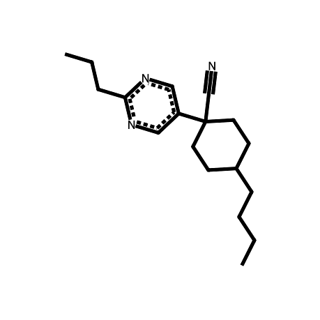 CCCCC1CCC(C#N)(c2cnc(CCC)nc2)CC1